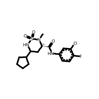 CN1[C@H](C(=O)Nc2ccc(F)c(Cl)c2)CC(C2CCCC2)NS1(=O)=O